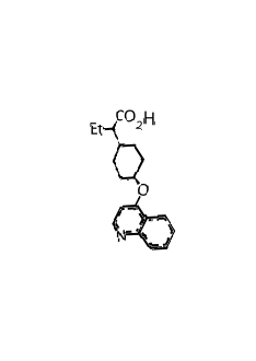 CCC(C(=O)O)[C@H]1CC[C@@H](Oc2ccnc3ccccc23)CC1